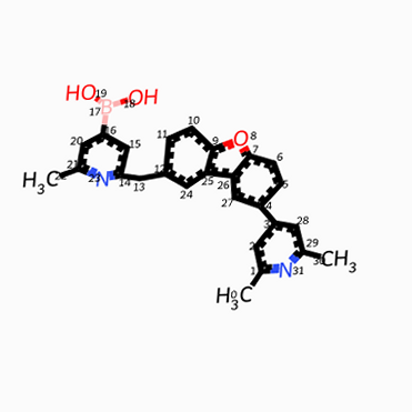 Cc1cc(-c2ccc3oc4ccc(Cc5cc(B(O)O)cc(C)n5)cc4c3c2)cc(C)n1